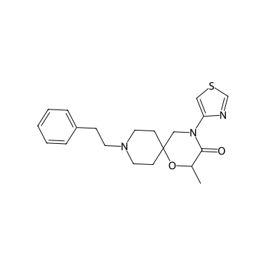 CC1OC2(CCN(CCc3ccccc3)CC2)CN(c2cscn2)C1=O